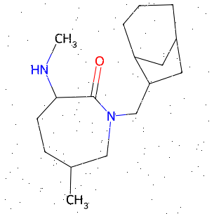 CNC1CCC(C)CN(CC2CC3CCCC2C3)C1=O